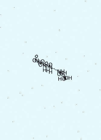 O=C(NCCCCCCNC(=O)Nc1cccc2c(C(=O)C(=O)N3CCN(C(=O)c4ccccc4)CC3)c[nH]c12)Nc1ccc(B(O)O)cc1